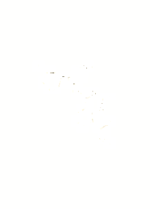 Cc1nc(N[C@H]2CNC[C@@H]2c2cccc(F)c2)c2cccc(C(N)=O)c2n1